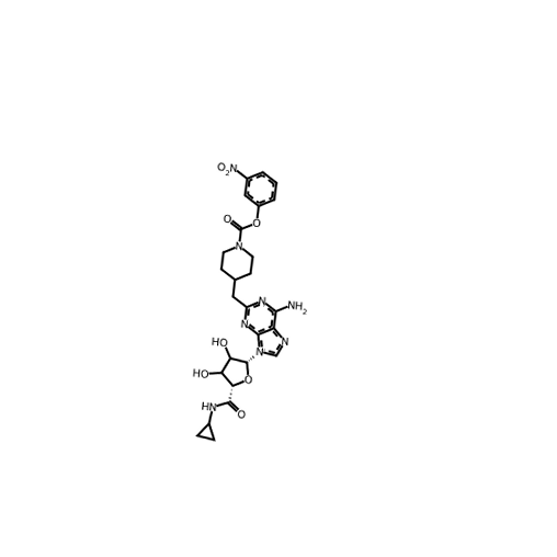 Nc1nc(CC2CCN(C(=O)Oc3cccc([N+](=O)[O-])c3)CC2)nc2c1ncn2[C@@H]1O[C@H](C(=O)NC2CC2)C(O)C1O